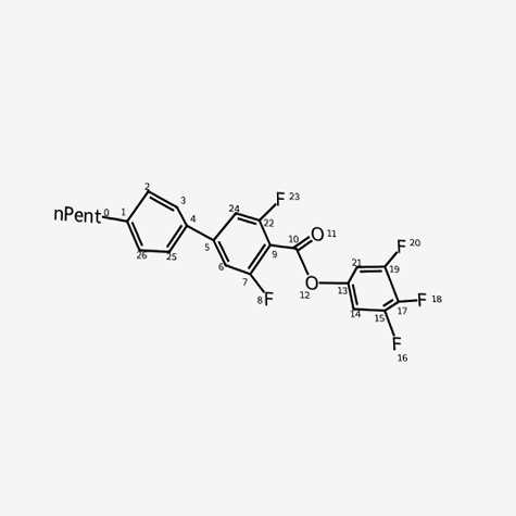 CCCCCc1ccc(-c2cc(F)c(C(=O)Oc3cc(F)c(F)c(F)c3)c(F)c2)cc1